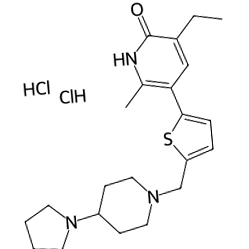 CCc1cc(-c2ccc(CN3CCC(N4CCCC4)CC3)s2)c(C)[nH]c1=O.Cl.Cl